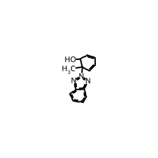 CC1(n2nc3ccccc3n2)C=CC=CC1O